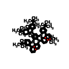 CC(C)(C)c1ccc(N2c3ccccc3B3c4ccc(C(C)(C)C)cc4N(c4ccc(C(C)(C)C)cc4-c4ccccc4)c4cc(N5c6ccc(C(C)(C)C)cc6C6(C)CC(C(C)(C)C)CCC56C)cc2c43)c(-c2ccccc2)c1